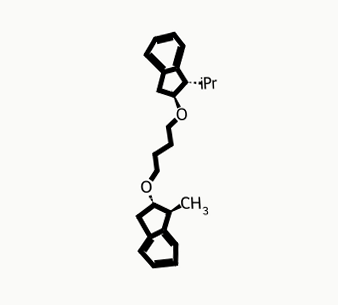 CC(C)[C@H]1c2ccccc2C[C@@H]1OCCCCO[C@H]1Cc2ccccc2[C@@H]1C